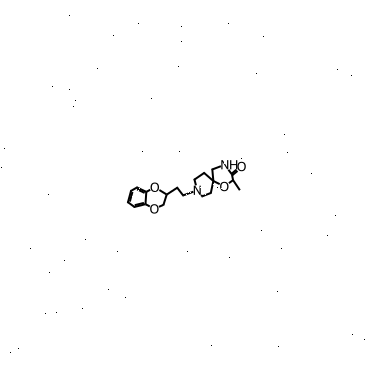 CC1OC2(CCN(CCC3COc4ccccc4O3)CC2)CNC1=O